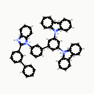 c1ccc(-c2cccc(-c3nc4ccccc4n3-c3cccc(-c4cc(-n5c6ccccc6c6ccccc65)cc(-n5c6ccccc6c6ccccc65)c4)c3)c2)cc1